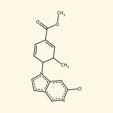 COC(=O)C1=CC(C)C(n2ccc3cnc(Cl)cc32)C=C1